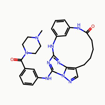 CN1CCN(C(=O)c2cccc(Nc3nc4nc5c(cnn35)CCCCC(=O)Nc3cccc(c3)N4)c2)CC1